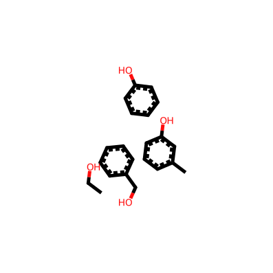 CCO.Cc1cccc(O)c1.OCc1ccccc1.Oc1ccccc1